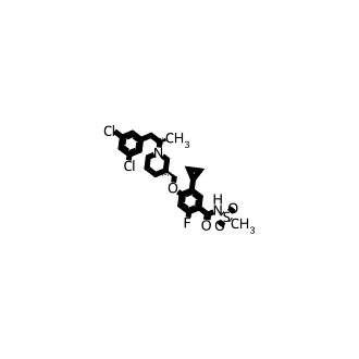 C[C@H](Cc1cc(Cl)cc(Cl)c1)N1CCC[C@H](COc2cc(F)c(C(=O)NS(C)(=O)=O)cc2C2CC2)C1